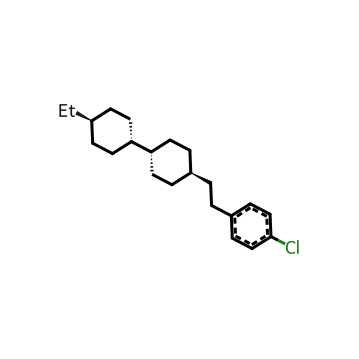 CC[C@H]1CC[C@H]([C@H]2CC[C@H](CCc3ccc(Cl)cc3)CC2)CC1